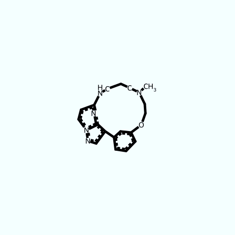 CN1CCCNc2ccn3ncc(c3n2)-c2cccc(c2)OCC1